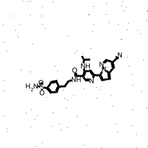 CC(C)Nc1cc(-c2ccc3cc(C#N)cnn23)ncc1C(=O)NCCc1ccc(S(N)(=O)=O)cc1